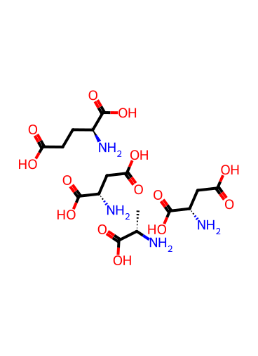 C[C@H](N)C(=O)O.N[C@@H](CC(=O)O)C(=O)O.N[C@@H](CC(=O)O)C(=O)O.N[C@@H](CCC(=O)O)C(=O)O